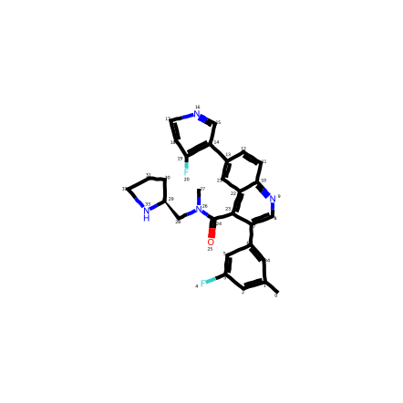 Cc1cc(F)cc(-c2cnc3ccc(-c4cnccc4F)cc3c2C(=O)N(C)C[C@@H]2CCCN2)c1